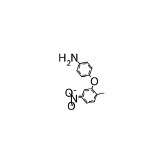 Cc1ccc([N+](=O)[O-])cc1Oc1ccc(N)cc1